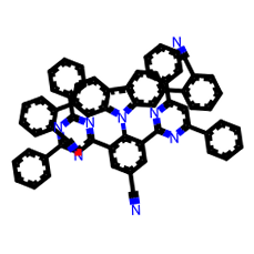 N#Cc1cc(-c2cc(-c3ccccc3)nc(-c3ccccc3)n2)c(-n2c3cc(-c4ccccc4C#N)ccc3c3ccc(-c4ccccc4C#N)cc32)c(-c2nc(-c3ccccc3)cc(-c3ccccc3)n2)c1